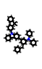 CC1(C)c2ccccc2-c2ccc(-n3c4ccccc4c4cc(-c5cc(Cc6ccccc6)cc(N(c6ccccc6)c6ccccc6)c5)ccc43)cc21